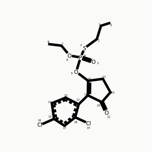 CCCSP(=O)(OCC)OC1=C(c2ccc(Cl)cc2Cl)C(=O)CC1